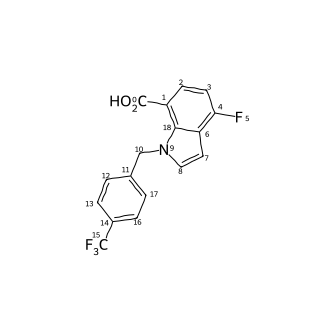 O=C(O)c1ccc(F)c2ccn(Cc3ccc(C(F)(F)F)cc3)c12